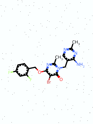 Cc1ncc(Cn2c(C)nc(OCc3ccc(F)cc3F)c(Br)c2=O)c(N)n1